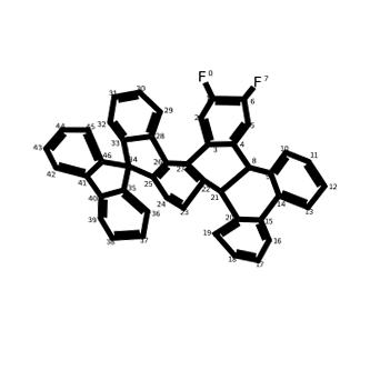 Fc1cc2c(cc1F)C1c3ccccc3-c3ccccc3C1c1ccc3c(c1-2)-c1ccccc1C31c2ccccc2-c2ccccc21